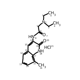 CCN(CC)CC(=O)Nc1cc2cccc(C)c2[nH]c1=O.Cl